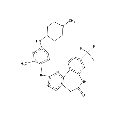 Cc1nc(NC2CCN(C)CC2)ccc1Nc1ncc2c(n1)-c1ccc(C(F)(F)F)cc1NC(=O)C2